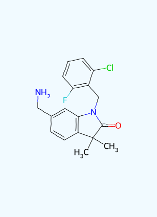 CC1(C)C(=O)N(Cc2c(F)cccc2Cl)c2cc(CN)ccc21